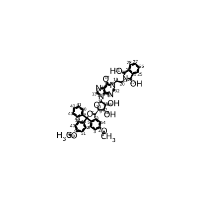 COc1ccc(C(OC[C@H]2O[C@@H](n3cnc4c(=O)n(CCN5C(O)c6ccccc6C5O)cnc43)[C@H](O)[C@@H]2O)(c2ccccc2)c2ccc(OC)cc2)cc1